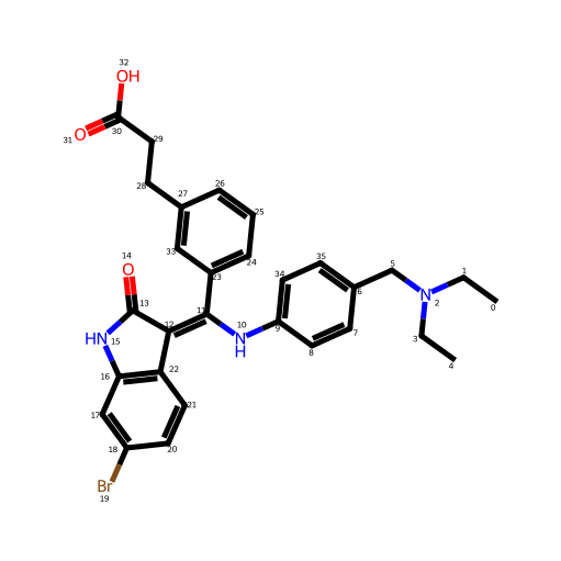 CCN(CC)Cc1ccc(NC(=C2C(=O)Nc3cc(Br)ccc32)c2cccc(CCC(=O)O)c2)cc1